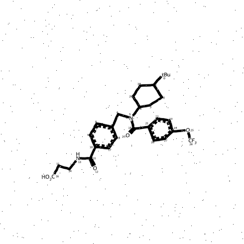 CC(C)(C)C1CCC(N(Cc2ccc(C(=O)NCCC(=O)O)cc2)C(=O)c2ccc(OC(F)(F)F)cc2)CC1